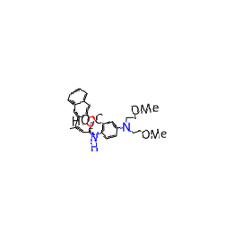 COCCN(CCOC)c1ccc(NC(=O)/C=C(/C)c2ccc3ccccc3c2)c(C(=O)O)c1